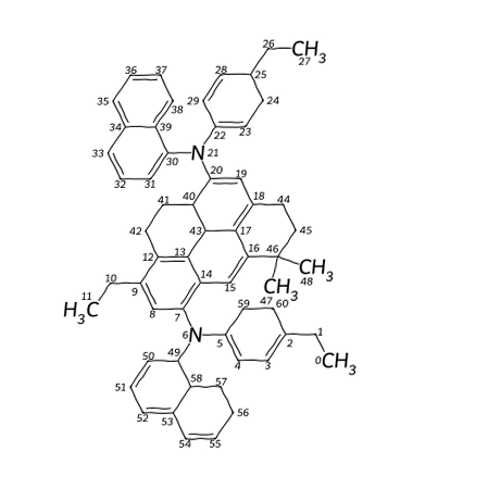 CCC1=CC=C(N(c2cc(CC)c3c4c2C=C2C5=C(C=C(N(C6=CCC(CC)C=C6)c6cccc7ccccc67)C(CC3)C54)CCC2(C)C)C2C=CC=C3C=CCCC32)CC1